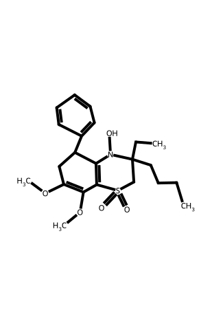 CCCCC1(CC)CS(=O)(=O)C2=C(C(c3ccccc3)CC(OC)=C2OC)N1O